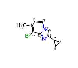 Cc1ccn2cc(C3CC3)nc2c1Br